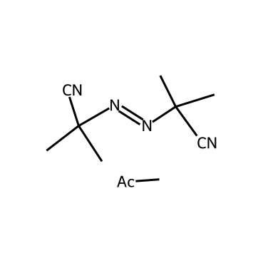 CC(C)(C#N)N=NC(C)(C)C#N.CC(C)=O